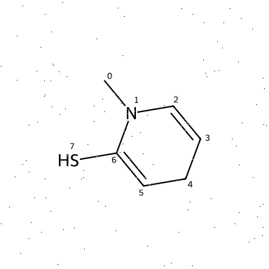 CN1C=CCC=C1S